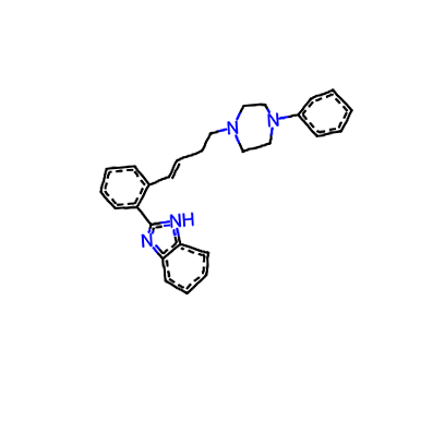 C(=Cc1ccccc1-c1nc2ccccc2[nH]1)CCN1CCN(c2ccccc2)CC1